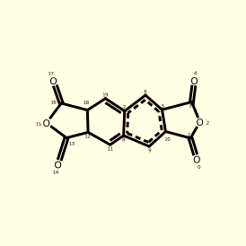 O=C1OC(=O)c2cc3c(cc21)=CC1C(=O)OC(=O)C1C=3